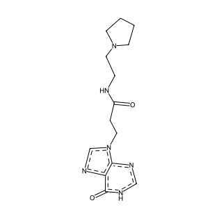 O=C(CCn1cnc2c(=O)[nH]cnc21)NCCN1CCCC1